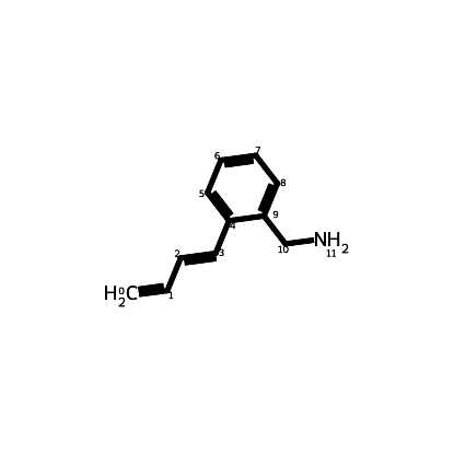 C=CC=Cc1ccccc1CN